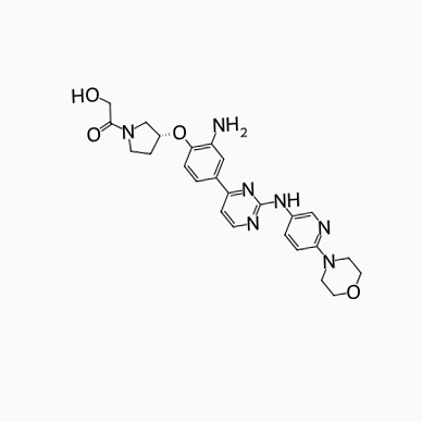 Nc1cc(-c2ccnc(Nc3ccc(N4CCOCC4)nc3)n2)ccc1O[C@@H]1CCN(C(=O)CO)C1